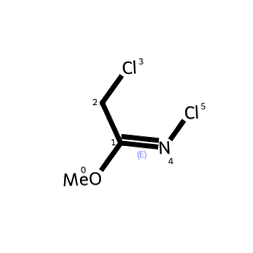 CO/C(CCl)=N/Cl